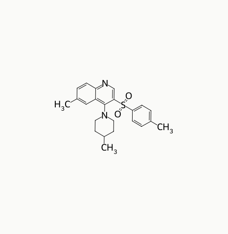 Cc1ccc(S(=O)(=O)c2cnc3ccc(C)cc3c2N2CCC(C)CC2)cc1